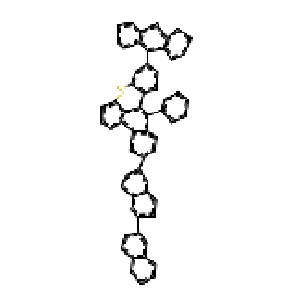 c1ccc(-c2c3c4c(cccc4c4cc(-c5ccc6cc(-c7ccc8ccccc8c7)ccc6c5)ccc24)Sc2cc(-c4c5ccccc5cc5ccccc45)ccc2-3)cc1